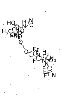 CC(C)(C)[C@H](NC(=O)COCCCCOc1ccc(-c2ncc(N3CN(c4ccc(C#N)c(C(F)(F)F)c4F)C(=O)C3(C)C)cc2F)c(C(F)(F)F)c1)C(=O)N1C[C@H](O)C[C@H]1C(=O)NCc1cnco1